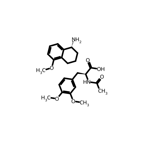 COc1ccc(C[C@H](NC(C)=O)C(=O)O)cc1OC.COc1cccc2c1CCC[C@H]2N